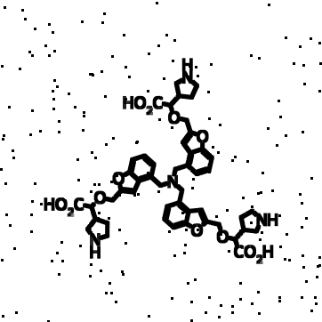 O=C(O)C(OCc1cc2c(CN(Cc3cccc4oc(COC(C(=O)O)C5CCNC5)cc34)Cc3cccc4oc(COC(C(=O)O)C5CCNC5)cc34)cccc2o1)C1CCNC1